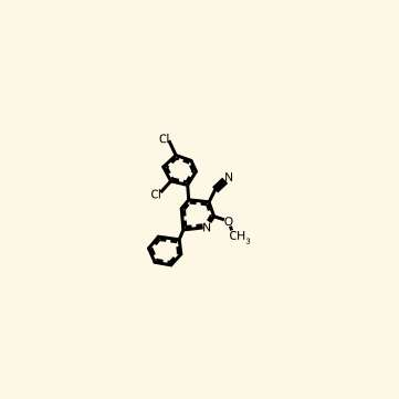 COc1nc(-c2ccccc2)cc(-c2ccc(Cl)cc2Cl)c1C#N